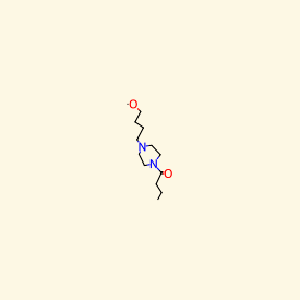 CCCC(=O)N1CCN(CCCC[O])CC1